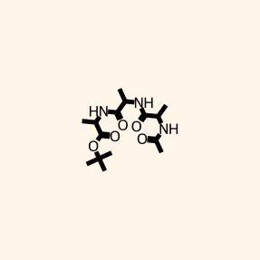 CC(=O)NC(C)C(=O)NC(C)C(=O)NC(C)C(=O)OC(C)(C)C